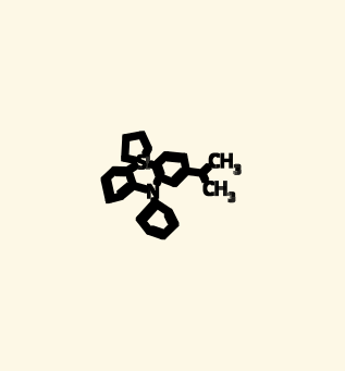 CC(C)c1ccc2c(c1)N(c1ccccc1)c1ccccc1[Si]21CCCC1